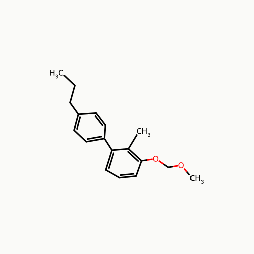 CCCc1ccc(-c2cccc(OCOC)c2C)cc1